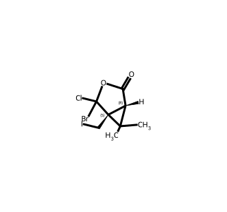 CC1(C)[C@H]2C(=O)OC(Cl)(Br)[C@]21CI